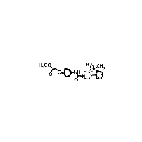 COC(=O)COc1ccc(NC(=O)N2CCN(c3ccccc3C(C)(C)C)CC2)cc1